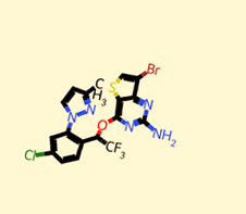 Cc1ccn(-c2cc(Cl)ccc2C(Oc2nc(N)nc3c(Br)csc23)C(F)(F)F)n1